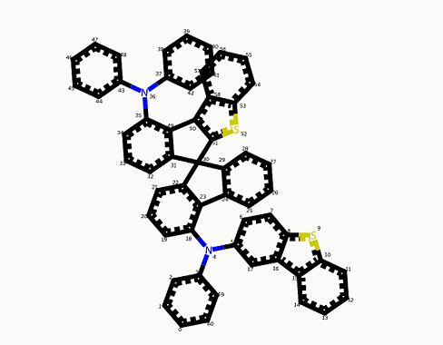 c1ccc(N(c2ccc3sc4ccccc4c3c2)c2cccc3c2-c2ccccc2C32c3cccc(N(c4ccccc4)c4ccccc4)c3-c3c2sc2ccccc32)cc1